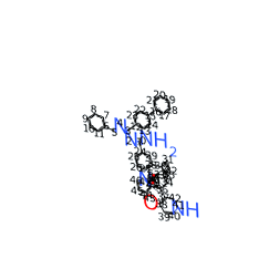 N/C(=N\C(=N/Cc1ccccc1)c1ccc(-c2ccccc2)cc1)c1ccc2c(c1)-c1ccc3c(c1)C1(C4=C(C=CNC4)Oc4ccn-2c41)c1ccccc1-3